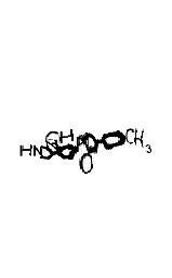 Cc1ccc(-c2ccn(-c3ccc4c5c(n(C)c4c3)CNCC5)c(=O)c2)cc1